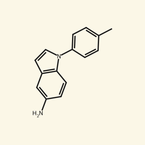 Cc1ccc(-n2ccc3cc(N)ccc32)cc1